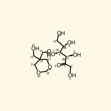 O=C(CO)[C@H](O)[C@@H](O)[C@H](O)CO.OCC1(CO)COCOC1